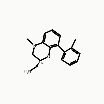 Cc1ccccc1-c1cccc2c1O[C@@H](CN)CN2C